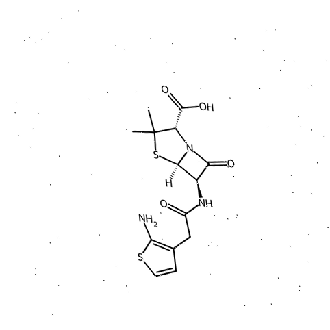 CC1(C)S[C@@H]2[C@H](NC(=O)Cc3ccsc3N)C(=O)N2[C@H]1C(=O)O